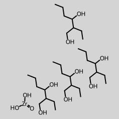 CCCC(O)C(CC)CO.CCCC(O)C(CC)CO.CCCC(O)C(CC)CO.CCCC(O)C(CC)CO.[O]=[Zr]([OH])[OH]